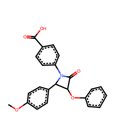 COc1ccc(C2C(Oc3ccccc3)C(=O)N2c2ccc(C(=O)O)cc2)cc1